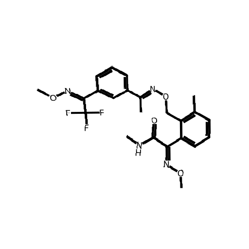 CNC(=O)/C(=N/OC)c1cccc(C)c1CO/N=C(\C)c1cccc(/C(=N/OC)C(F)(F)F)c1